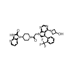 O=C(Cn1cc(-c2ccccc2C(F)(F)F)c2c(N3CC(O)C3)ncnc21)N1CCC(n2c(=O)[nH]c3ncccc32)CC1